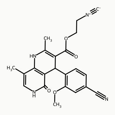 [C-]#[N+]CCOC(=O)C1=C(C)Nc2c(C)c[nH]c(=O)c2C1c1ccc(C#N)cc1OC